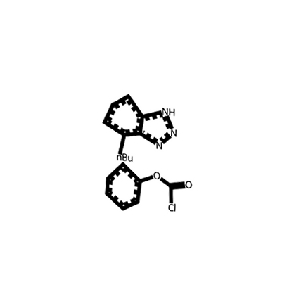 CCCCc1cccc2[nH]nnc12.O=C(Cl)Oc1ccccc1